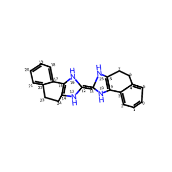 c1ccc2c(c1)CCC1=C2N/C(=C2\NC3=C(N2)c2ccccc2CC3)N1